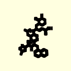 Cc1cc(C(=O)NC(Cc2cccc3ccccc23)C(=O)NC(CC(C)C)C(=O)NC(/C=C/C(=O)O)CC2CCCNC2=O)no1